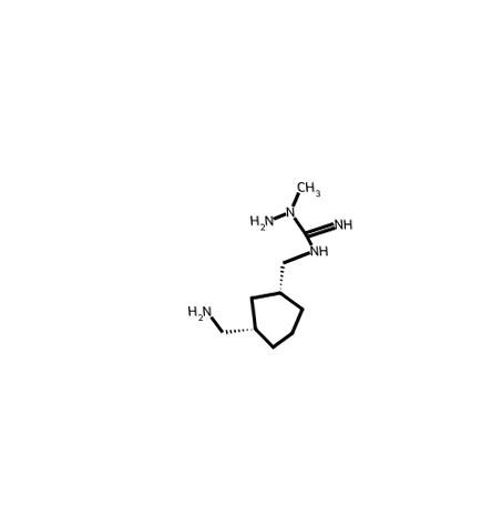 CN(N)C(=N)NC[C@@H]1CCC[C@H](CN)C1